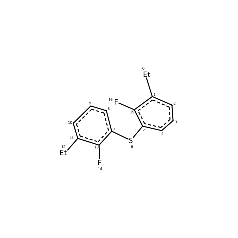 CCc1cccc(Sc2cccc(CC)c2F)c1F